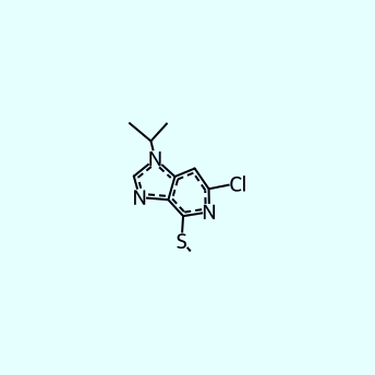 CSc1nc(Cl)cc2c1ncn2C(C)C